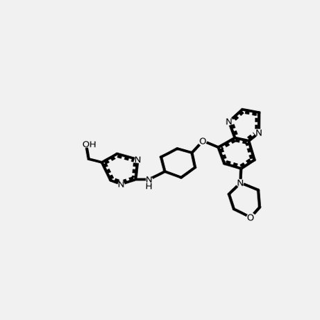 OCc1cnc(NC2CCC(Oc3cc(N4CCOCC4)cc4nccnc34)CC2)nc1